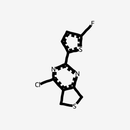 Fc1ccc(-c2nc(Cl)c3c(n2)CSC3)s1